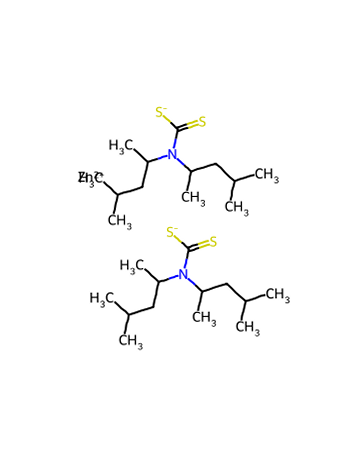 CC(C)CC(C)N(C(=S)[S-])C(C)CC(C)C.CC(C)CC(C)N(C(=S)[S-])C(C)CC(C)C.[Zn+2]